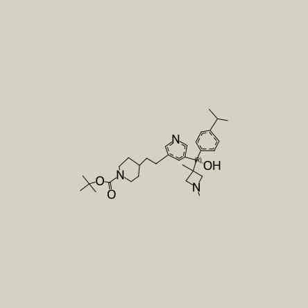 CC(C)c1ccc([C@](O)(c2cncc(CCC3CCN(C(=O)OC(C)(C)C)CC3)c2)C2(C)CN(C)C2)cc1